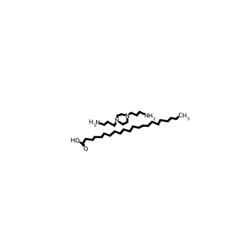 CCCCCCCCCCCCCCCCCCCCCC(=O)O.NCCCN1CCN(CCCN)CC1